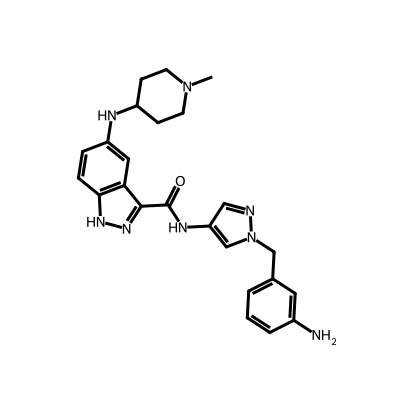 CN1CCC(Nc2ccc3[nH]nc(C(=O)Nc4cnn(Cc5cccc(N)c5)c4)c3c2)CC1